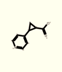 O=C(Cl)C1CC1c1ccncc1